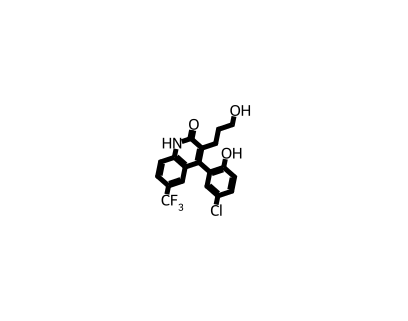 O=c1[nH]c2ccc(C(F)(F)F)cc2c(-c2cc(Cl)ccc2O)c1CCCO